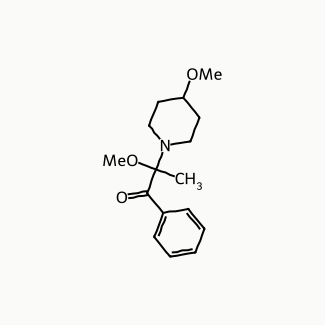 COC1CCN(C(C)(OC)C(=O)c2ccccc2)CC1